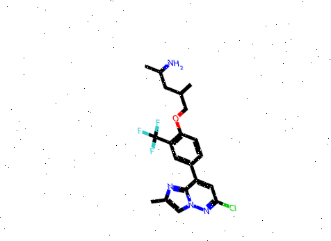 Cc1cn2nc(Cl)cc(-c3ccc(OCC(C)CC(C)N)c(C(F)(F)F)c3)c2n1